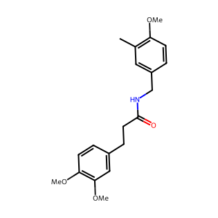 COc1ccc(CNC(=O)CCc2ccc(OC)c(OC)c2)cc1C